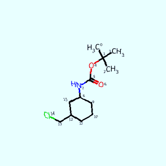 CC(C)(C)OC(=O)NC1CCCC(CCl)C1